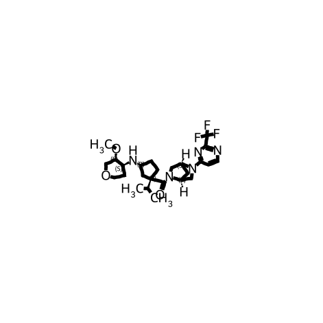 CO[C@@H]1COCC[C@@H]1N[C@@H]1CC[C@@](C(=O)N2C[C@@H]3C[C@H]2CN3c2ccnc(C(F)(F)F)n2)(C(C)C)C1